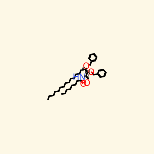 CCCCCCCCCCCCCC[C@@H](OCc1ccccc1)[C@@H](OCc1ccccc1)[C@@H](C=O)NC(=O)CCCCCCC